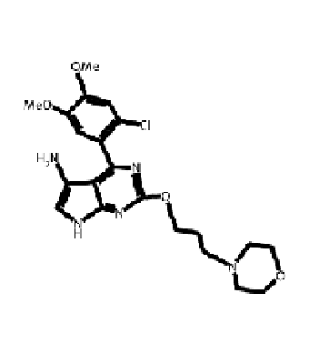 COc1cc(Cl)c(-c2nc(OCCCN3CCOCC3)nc3[nH]cc(N)c23)cc1OC